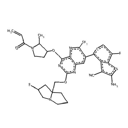 C=CC(=O)N1CCC(Oc2nc(OCC34CCCN3CC(F)C4)nc3cc(-c4ccc(F)c5sc(N)c(C#N)c45)c(C(F)(F)F)nc23)C1C